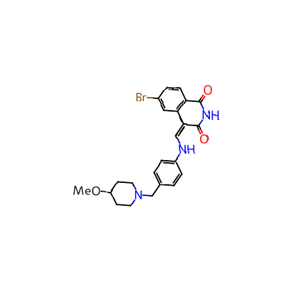 COC1CCN(Cc2ccc(NC=C3C(=O)NC(=O)c4ccc(Br)cc43)cc2)CC1